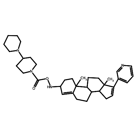 CC12CCC(NOC(=O)N3CCC(N4CCCCC4)CC3)C=C1CCC1C2CCC2(C)C(c3cccnc3)=CCC12